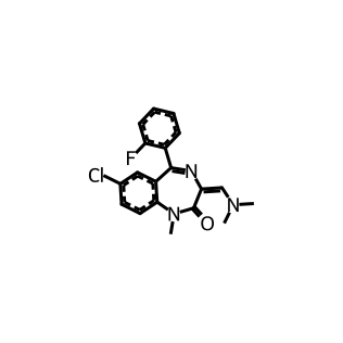 CN(C)C=C1N=C(c2ccccc2F)c2cc(Cl)ccc2N(C)C1=O